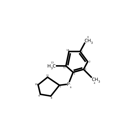 Cc1cc(C)c([P]C2CCCC2)c(C)c1